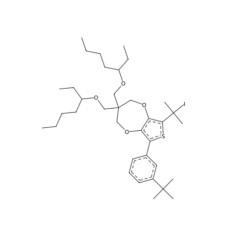 CCCCC(CC)OCC1(COC(CC)CCCC)COc2c(-c3cccc(C(C)(C)C)c3)sc(C(C)(C)I)c2OC1